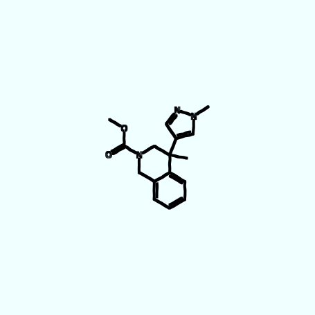 COC(=O)N1Cc2ccccc2C(C)(c2cnn(C)c2)C1